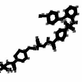 CC(C)(C)OC(=O)N1CCC(CNC(=O)CNC(=O)c2ccc(S(=O)(=O)Nc3ccccc3Oc3ccc(Br)cc3)cc2)CC1